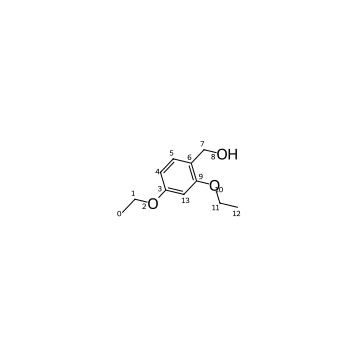 CCOc1ccc(CO)c(OCC)c1